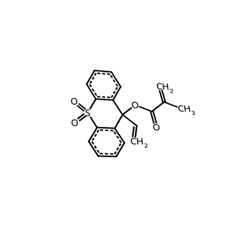 C=CC1(OC(=O)C(=C)C)c2ccccc2S(=O)(=O)c2ccccc21